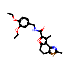 CCOc1ccc(CNC(=O)c2oc3c(c2C)-c2nc(C)sc2CC3)cc1OCC